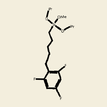 CO[Si](CCCCCc1c(F)cc(F)cc1F)(OC(C)C)OC(C)C